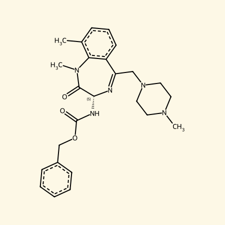 Cc1cccc2c1N(C)C(=O)[C@@H](NC(=O)OCc1ccccc1)N=C2CN1CCN(C)CC1